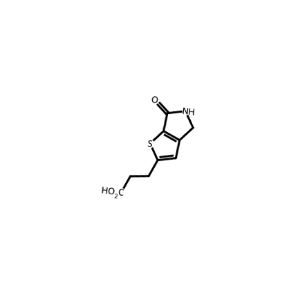 O=C(O)CCc1cc2c(s1)C(=O)NC2